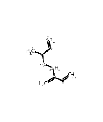 C=CC(=C)[SiH2]OC(C)C=C